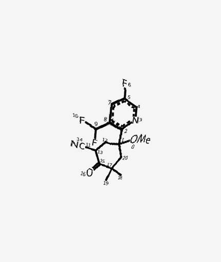 COC1(c2ncc(F)cc2C(F)F)CC(C#N)C(=O)C(C)(C)C1